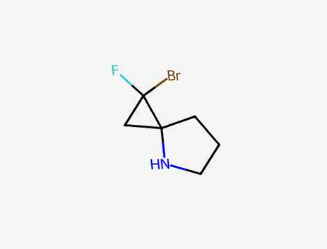 FC1(Br)CC12CCCN2